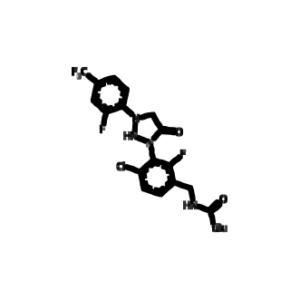 CC(C)(C)C(=O)NCc1ccc(Cl)c(N2NN(c3ccc(C(F)(F)F)cc3F)CC2=O)c1F